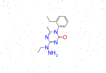 CCc1ccccc1-n1c(C)nc(N(N)CC)nc1=O